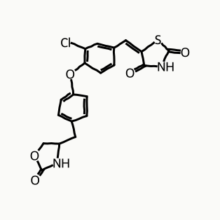 O=C1NC(Cc2ccc(Oc3ccc(C=C4SC(=O)NC4=O)cc3Cl)cc2)CO1